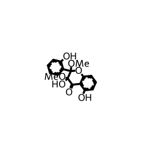 COC1(O)C(=O)c2c(O)cccc2OC1(OC)c1ccccc1O